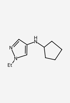 CCn1cc(NC2CCCC2)cn1